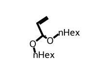 C=C[C](OCCCCCC)OCCCCCC